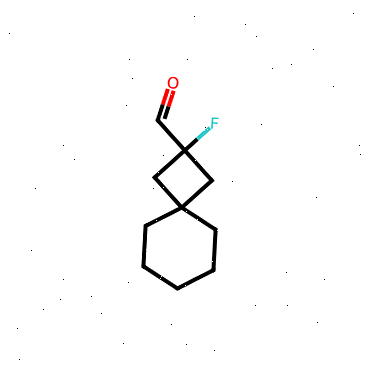 O=CC1(F)CC2(CCCCC2)C1